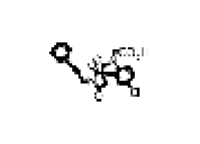 O=C(O)CN1C(=O)C2(CC(=O)N(CC#Cc3ccccc3)C2=O)c2cc(Cl)ccc21